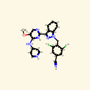 COc1cnc(-c2nn(Cc3c(F)cc(C#N)cc3F)c3ccccc23)nc1Nc1ccncc1